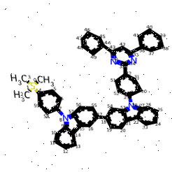 CS(C)(C)c1ccc(-n2c3ccccc3c3cc(-c4ccc5c6ccccc6n(-c6ccc(-c7nc(-c8ccccc8)cc(-c8ccccc8)n7)cc6)c5c4)ccc32)cc1